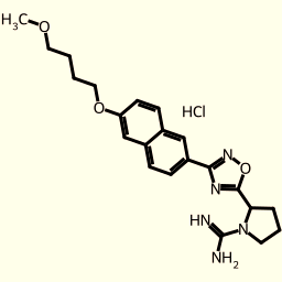 COCCCCOc1ccc2cc(-c3noc(C4CCCN4C(=N)N)n3)ccc2c1.Cl